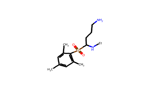 CCNC(CCCN)S(=O)(=O)c1c(C)cc(C)cc1C